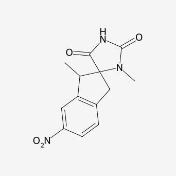 CC1c2cc([N+](=O)[O-])ccc2CC12C(=O)NC(=O)N2C